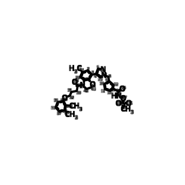 Cc1cc(-c2cnn(Cc3cccc(C(=O)NOS(C)(=O)=O)c3)c2)c2c(c1)N(C(=O)CCCOc1cccc(C)c1C)CCO2